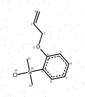 C=CCOc1ccccc1[Si](C)(C)Cl